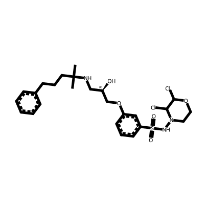 CC(C)(CCCc1ccccc1)NC[C@@H](O)COc1cccc(S(=O)(=O)NN2CCOC(Cl)C2Cl)c1